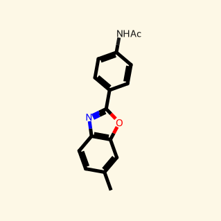 CC(=O)Nc1ccc(-c2nc3ccc(C)cc3o2)cc1